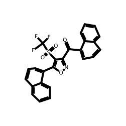 O=C(c1noc(-c2cccc3ccccc23)c1S(=O)(=O)C(F)(F)F)c1cccc2ccccc12